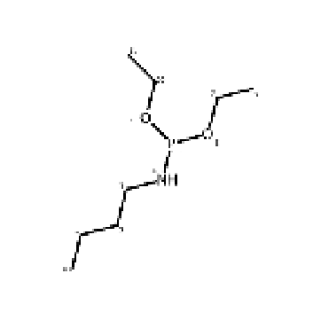 CCCCNP(OCC)OCC